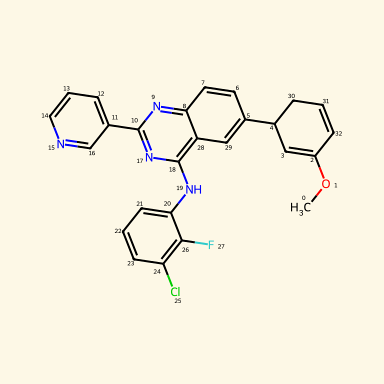 COC1=CC(c2ccc3nc(-c4cccnc4)nc(Nc4cccc(Cl)c4F)c3c2)CC=C1